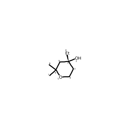 CC[C@@]1(O)CCOC(C)(C)C1